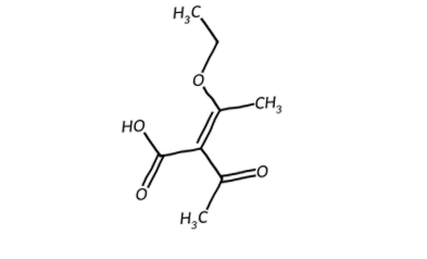 CCO/C(C)=C(/C(C)=O)C(=O)O